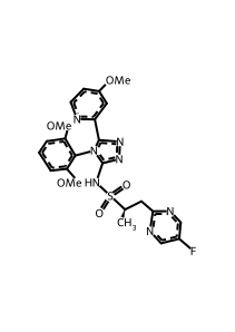 COc1ccnc(-c2nnc(NS(=O)(=O)[C@H](C)Cc3ncc(F)cn3)n2-c2c(OC)cccc2OC)c1